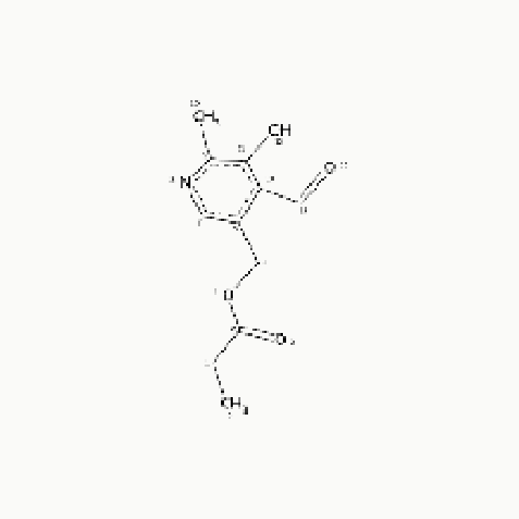 CCC(=O)OCc1cnc(C)c(O)c1C=O